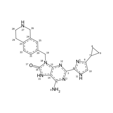 Nc1nc(-c2nc(C3CC3)c[nH]2)nc2c1[nH]c(=O)n2Cc1ccc2c(c1)CNCC2